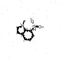 Cn1ccc2cccc([SH](=O)=O)c21